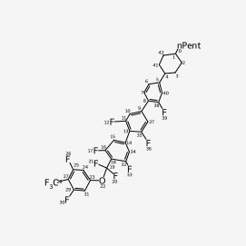 CCCCCC1CCC(c2ccc(-c3cc(F)c(-c4cc(F)c(C(F)(F)Oc5cc(F)c(C(F)(F)F)c(F)c5)c(F)c4)c(F)c3)c(F)c2)CC1